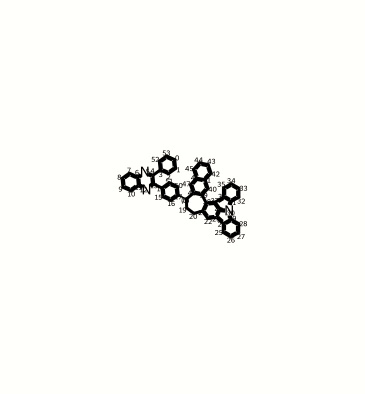 c1ccc(-c2nc3ccccc3nc2-c2ccc([C@@H]3CCc4cc5c6ccccc6n6c7ccccc7c(c4-c4cc7ccccc7cc43)c56)cc2)cc1